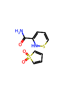 NC(=O)C1=CC=CSN1.O=S1(=O)C=CC=C1